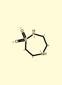 O=S1(=O)CCNCCN1